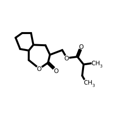 CCC(C)C(=O)OCC1CC2CCCCC2COC1=O